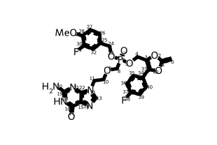 C=C1OC(COP(=O)(COCCn2cnc3c(=O)[nH]c(N)nc32)OCc2ccc(OC)c(F)c2)=C(c2ccc(F)cc2)O1